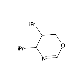 CC(C)C1COC=NC1C(C)C